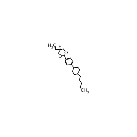 C=CC1(F)COC(c2ccc(C3CCC(CCCCC)CC3)cc2)OC1